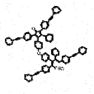 O=C/C(=C(\C(=C\c1ccc(C#Cc2ccccc2)cc1)c1ccccc1)c1ccc(Oc2ccc(C3=C(c4ccc(C#Cc5ccccc5)cc4)C(=O)C(c4ccc(C#Cc5ccccc5)cc4)=C3c3ccccc3)cc2)cc1)c1ccc(C#Cc2ccccc2)cc1